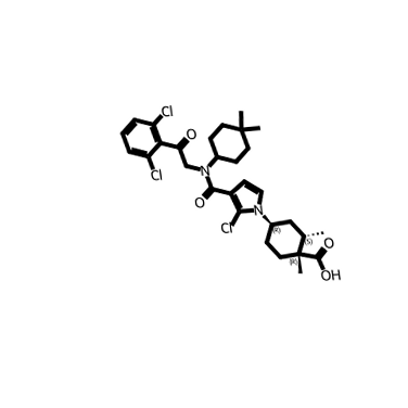 C[C@H]1C[C@H](n2ccc(C(=O)N(CC(=O)c3c(Cl)cccc3Cl)C3CCC(C)(C)CC3)c2Cl)CC[C@@]1(C)C(=O)O